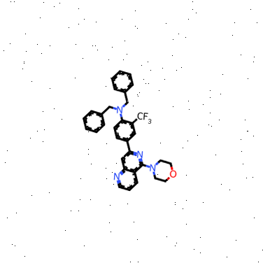 FC(F)(F)c1cc(-c2cc3ncccc3c(N3CCOCC3)n2)ccc1N(Cc1ccccc1)Cc1ccccc1